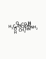 CC1C(CN2CCC(NC(=N)N)C2)=C(C(=O)O)N2C(=O)C([C@@H](C)O)C12